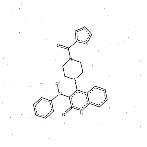 O=C(c1cccs1)N1CCN(c2c([S+]([O-])c3ccccc3)c(=O)[pH]c3ccccc23)CC1